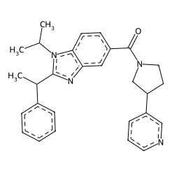 CC(c1ccccc1)c1nc2cc(C(=O)N3CCC(c4cccnc4)C3)ccc2n1C(C)C